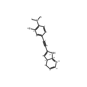 CN(C)c1ccc(C#CC2=CC3CC=CN=C3N2)cc1F